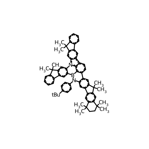 CC(C)(C)c1ccc(N2B3c4cc5c(cc4-n4c6cc7c(cc6c6ccc(c3c64)-c3cc4c(cc32)-c2cc3c(cc2C4(C)C)C(C)(C)CCC3(C)C)-c2ccccc2C7(C)C)C(C)(C)c2ccccc2-5)cc1